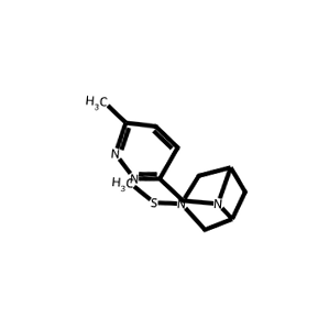 CSN1CC2CC(C1)N2Cc1ccc(C)nn1